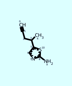 C#CCC(C)c1cnc(N)s1